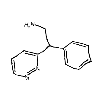 NCC(c1ccccc1)c1cccnn1